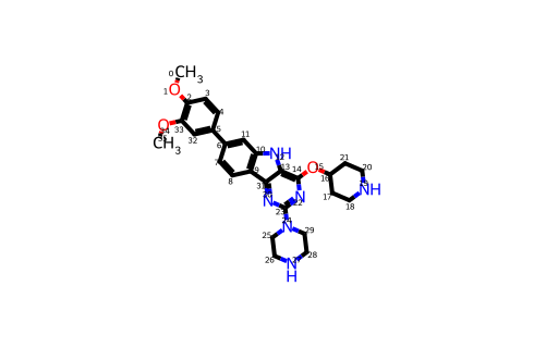 COc1ccc(-c2ccc3c(c2)[nH]c2c(OC4CCNCC4)nc(N4CCNCC4)nc23)cc1OC